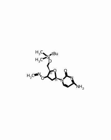 C=NOC1C[C@H](n2ccc(N)nc2=O)O[C@@H]1CO[Si](C)(C)C(C)(C)C